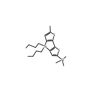 CCCC[Si]1(CCCC)c2cc(C)sc2-c2sc([Si](C)(C)C)cc21